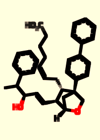 CC(c1ccccc1)[C@H](O)/C=C/[C@@H]1[C@@H]2C[C@@](c3ccc(-c4ccccc4)cc3)(CO2)[C@H]1C/C=C\CCCC(=O)O